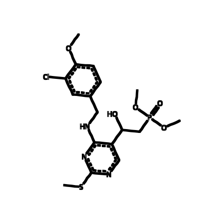 COc1ccc(CNc2nc(SC)ncc2C(O)CP(=O)(OC)OC)cc1Cl